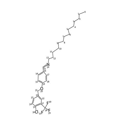 CCCCCCCCCCCCCCN=Cc1ccc(OCc2ccc(Cl)c(C(F)(F)F)c2)cc1